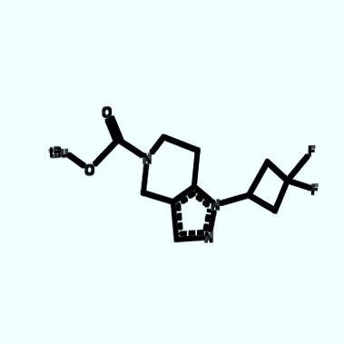 CC(C)(C)OC(=O)N1CCc2c(cnn2C2CC(F)(F)C2)C1